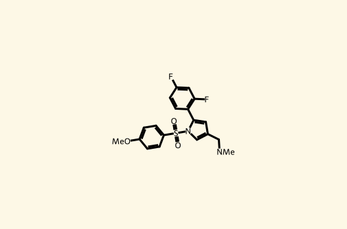 CNCc1cc(-c2ccc(F)cc2F)n(S(=O)(=O)c2ccc(OC)cc2)c1